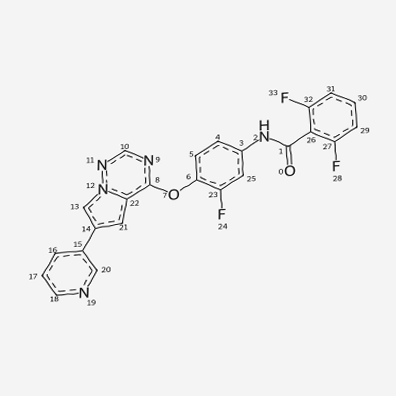 O=C(Nc1ccc(Oc2ncnn3cc(-c4cccnc4)cc23)c(F)c1)c1c(F)cccc1F